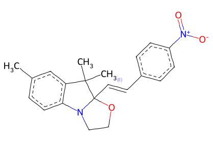 Cc1ccc2c(c1)C(C)(C)C1(/C=C/c3ccc([N+](=O)[O-])cc3)OCCN21